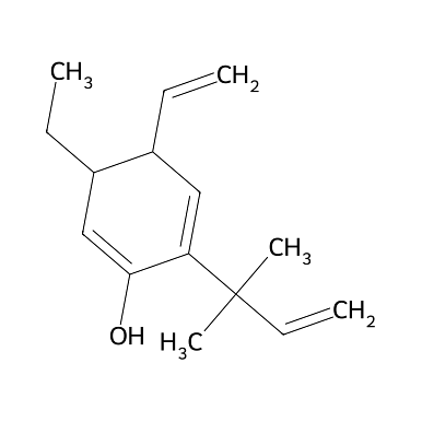 C=CC1C=C(C(C)(C)C=C)C(O)=CC1CC